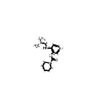 CN(C)CNc1ccncc1OC(=O)N1CCCCC1